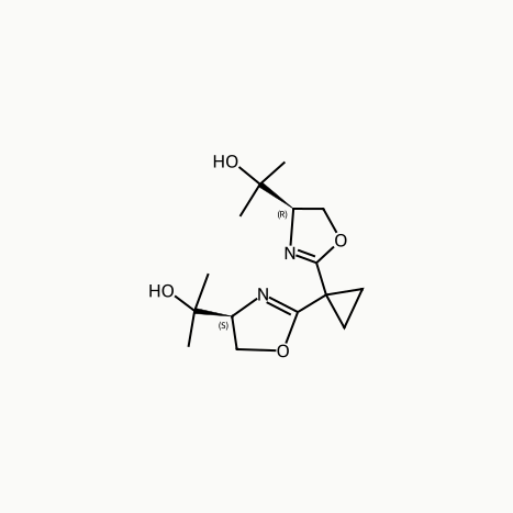 CC(C)(O)[C@@H]1COC(C2(C3=N[C@@H](C(C)(C)O)CO3)CC2)=N1